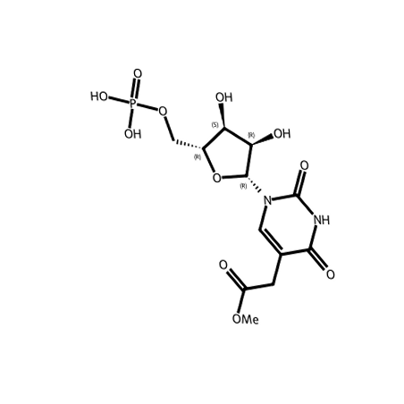 COC(=O)Cc1cn([C@@H]2O[C@H](COP(=O)(O)O)[C@@H](O)[C@H]2O)c(=O)[nH]c1=O